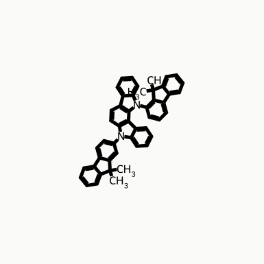 CC1(C)c2ccccc2-c2ccc(-n3c4ccccc4c4c3ccc3c5ccccc5n(-c5cccc6c5C(C)(C)c5ccccc5-6)c34)cc21